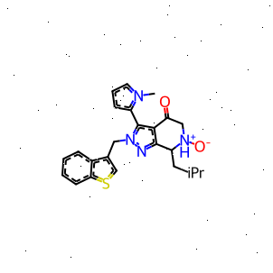 CC(C)CC1c2nn(Cc3csc4ccccc34)c(-c3cccn3C)c2C(=O)C[NH+]1[O-]